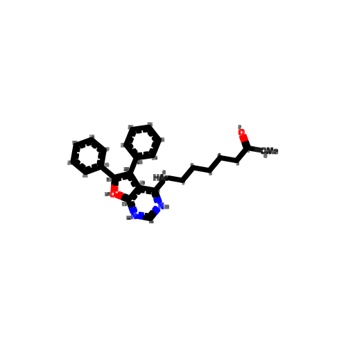 COC(=O)CCCCC[AsH]c1ncnc2oc(-c3ccccc3)c(-c3ccccc3)c12